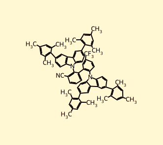 Cc1cc(C)c(-c2ccc3c(c2)c2cc(-c4c(C)cc(C)cc4C)ccc2n3-c2ccc(C(F)(F)F)cc2-c2cccc(C#N)c2-n2c3ccc(-c4c(C)cc(C)cc4C)cc3c3cc(-c4c(C)cc(C)cc4C)ccc32)c(C)c1